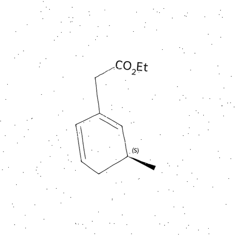 CCOC(=O)CC1=C[C@@H](C)CC=C1